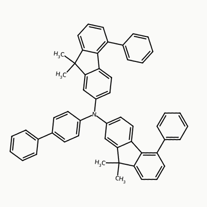 CC1(C)c2cc(N(c3ccc(-c4ccccc4)cc3)c3ccc4c(c3)C(C)(C)c3cccc(-c5ccccc5)c3-4)ccc2-c2c(-c3ccccc3)cccc21